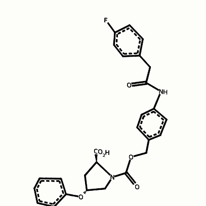 O=C(Cc1ccc(F)cc1)Nc1ccc(COC(=O)N2C[C@H](Oc3ccccc3)C[C@H]2C(=O)O)cc1